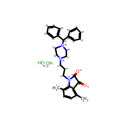 Cc1ccc(C)c2c1C(=O)C(=O)N2CCCN1CCN(C(c2ccccc2)c2ccccc2)CC1.Cl.Cl